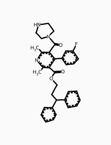 Cc1nc(C)c(C(=O)N2CCNCC2)c(-c2cccc(F)c2)c1C(=O)OCCC(c1ccccc1)c1ccccc1